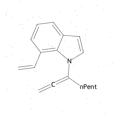 C=C=C(CCCCC)n1ccc2cccc(C=C)c21